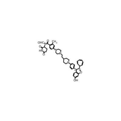 Cc1cc(N2CCN(CCC3CCN(c4ccc([C@@H]5c6ccc(O)cc6OCC5C5C=CC=CC=C5)cc4)CC3)CC2)ccc1C(=O)N(C=O)C1CCC(=O)NC1=O